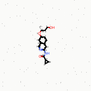 C[C@H](CCO)Oc1ccc2cc(NC(=O)C3CC3)ncc2c1